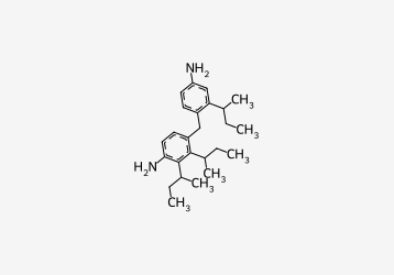 CCC(C)c1cc(N)ccc1Cc1ccc(N)c(C(C)CC)c1C(C)CC